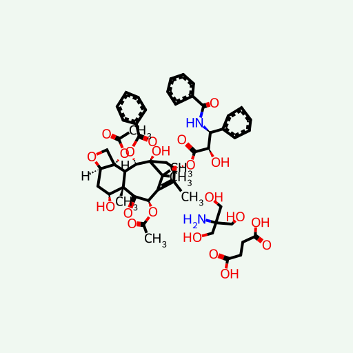 CC(=O)O[C@H]1C(=O)[C@@]2(C)[C@H]([C@H](OC(=O)c3ccccc3)[C@]3(O)C[C@H](OC(=O)[C@H](O)[C@@H](NC(=O)c4ccccc4)c4ccccc4)C(C)=C1C3(C)C)[C@]1(OC(C)=O)CO[C@@H]1C[C@@H]2O.NC(CO)(CO)CO.O=C(O)CCC(=O)O